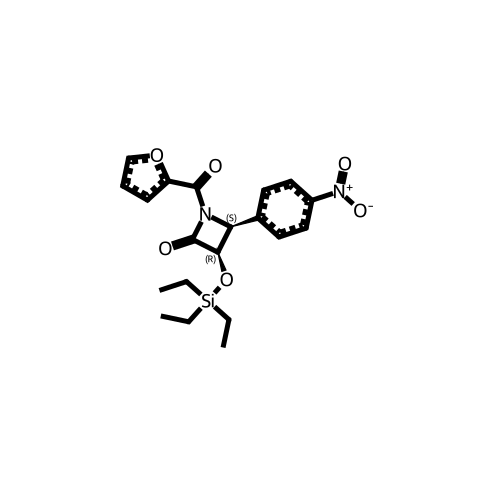 CC[Si](CC)(CC)O[C@H]1C(=O)N(C(=O)c2ccco2)[C@H]1c1ccc([N+](=O)[O-])cc1